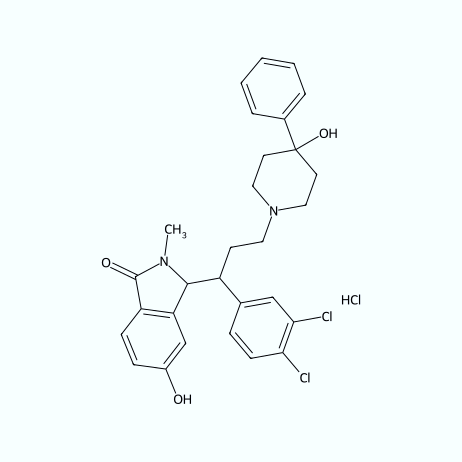 CN1C(=O)c2ccc(O)cc2C1C(CCN1CCC(O)(c2ccccc2)CC1)c1ccc(Cl)c(Cl)c1.Cl